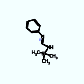 C[Si](C)(C)N/C=N/c1ccccc1